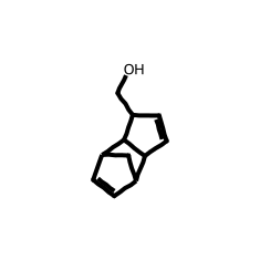 OCC1C=CC2C3C=CC(C3)C12